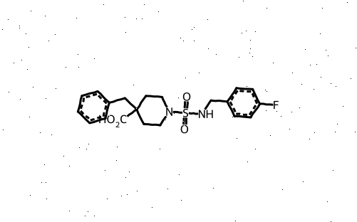 O=C(O)C1(Cc2ccccc2)CCN(S(=O)(=O)NCc2ccc(F)cc2)CC1